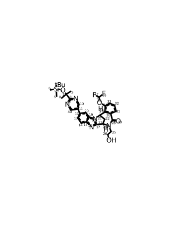 CC(C)(O[Si](C)(C)C(C)(C)C)c1ncc(-c2ccc3nc4n(c3c2)[C@@H]2C[C@H]4N(CCO)C(=O)c3cccc(OC(F)F)c32)cn1